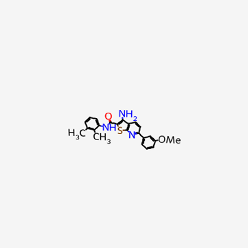 COc1cccc(-c2ccc3c(N)c(C(=O)Nc4cccc(C)c4C)sc3n2)c1